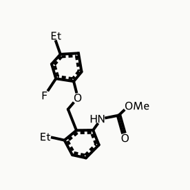 CCc1ccc(OCc2c(CC)cccc2NC(=O)OC)c(F)c1